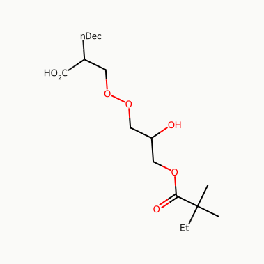 CCCCCCCCCCC(COOCC(O)COC(=O)C(C)(C)CC)C(=O)O